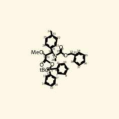 CO[C@H](C(=O)O[Si](c1ccccc1)(c1ccccc1)C(C)(C)C)[C@@H](c1ccc(C)cc1)N(C)C(=O)OCc1ccccc1